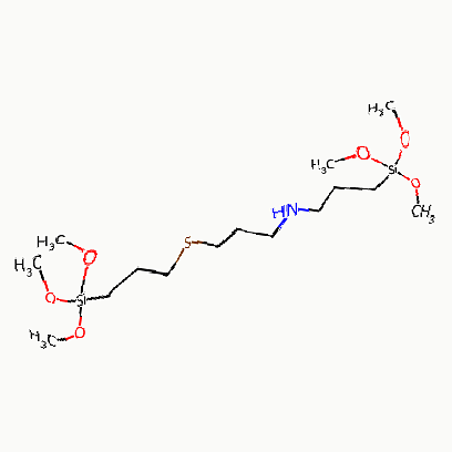 CO[Si](CCCNCCCSCCC[Si](OC)(OC)OC)(OC)OC